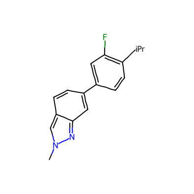 CC(C)c1ccc(-c2ccc3cn(C)nc3c2)cc1F